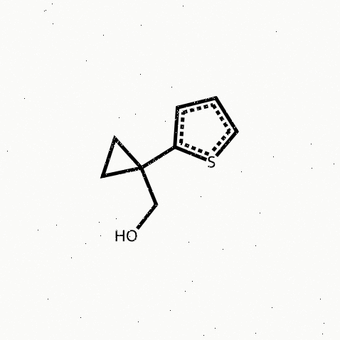 OCC1(c2cccs2)CC1